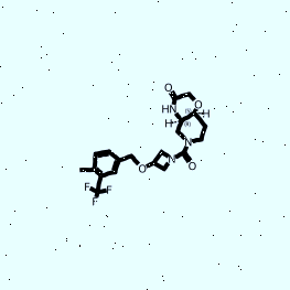 Cc1ccc(COC2CN(C(=O)N3CC[C@@H]4OCC(=O)N[C@@H]4C3)C2)cc1C(F)(F)F